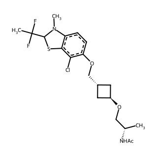 CC(=O)N[C@@H](C)CO[C@H]1C[C@H](COc2ccc3c(c2Cl)SC(C(C)(F)F)N3C)C1